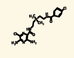 C[N+](C)(CCNC(=O)c1ccc(Cl)cc1)CCNC(=O)c1nc(Cl)c(N)nc1N